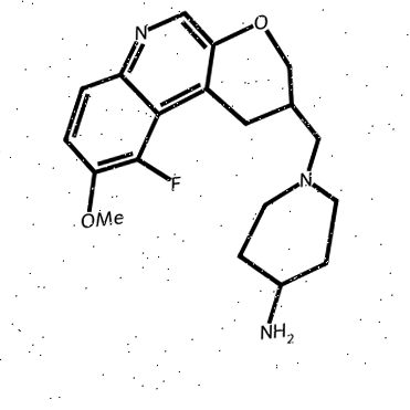 COc1ccc2ncc3c(c2c1F)CC(CN1CCC(N)CC1)CO3